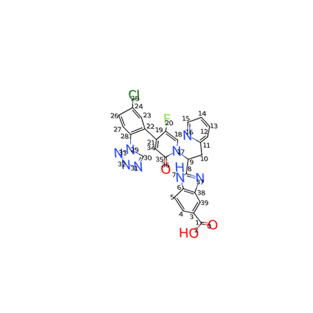 O=C(O)c1ccc2[nH]c(C(Cc3ccccn3)n3cc(F)c(-c4cc(Cl)ccc4-n4cnnn4)cc3=O)nc2c1